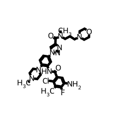 Cc1c(F)c(N)cc(C(=O)Nc2cc(-n3cc(C(=O)N(C)CCCN4CCOCC4)nn3)ccc2N2CCN(C)CC2)c1Cl